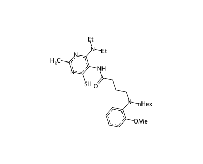 CCCCCCN(CCCC(=O)Nc1c(S)nc(C)nc1N(CC)CC)c1ccccc1OC